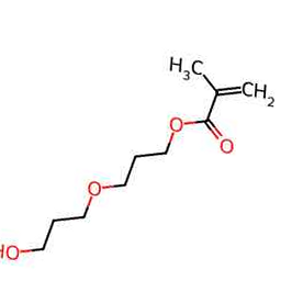 C=C(C)C(=O)OCCCOCCCO